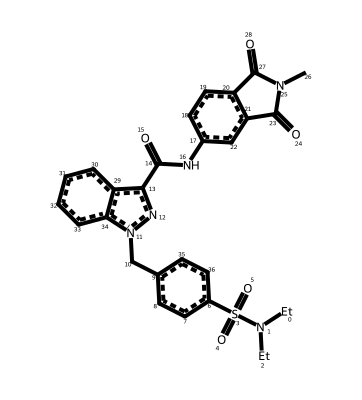 CCN(CC)S(=O)(=O)c1ccc(Cn2nc(C(=O)Nc3ccc4c(c3)C(=O)N(C)C4=O)c3ccccc32)cc1